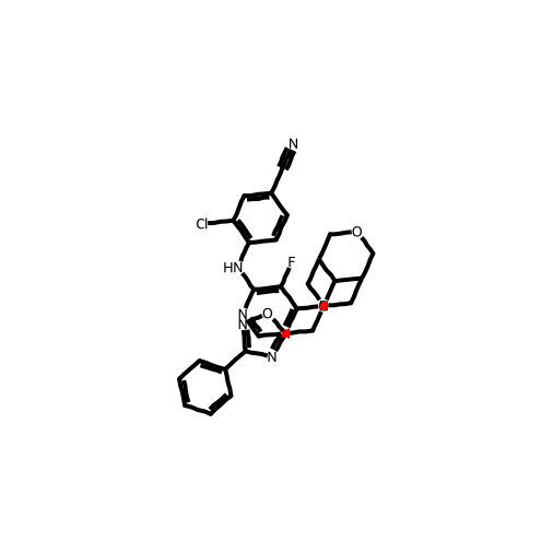 N#Cc1ccc(Nc2ncnc(OC3C4COCC3CN(Cc3nc(-c5ccccc5)no3)C4)c2F)c(Cl)c1